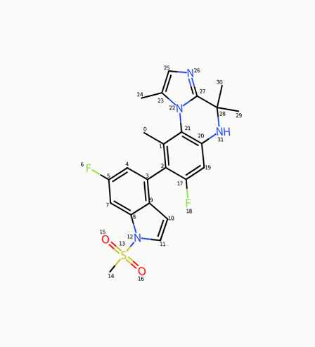 Cc1c(-c2cc(F)cc3c2ccn3S(C)(=O)=O)c(F)cc2c1-n1c(C)cnc1C(C)(C)N2